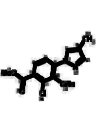 COC(=O)c1ccc(-n2cc(C)cn2)c(OCC(C)C)c1Cl